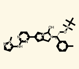 Cc1cccc([C@@H](CO[Si](C)(C)C(C)(C)C)N2Cc3cc(-c4ccnc(Nc5ccnn5C)n4)cn3C2O)c1